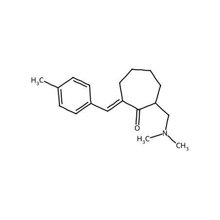 Cc1ccc(/C=C2\CCCCC(CN(C)C)C2=O)cc1